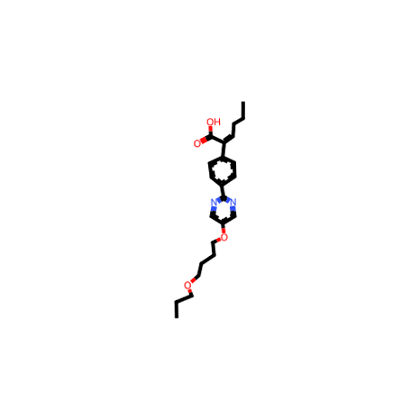 CCCC=C(C(=O)O)c1ccc(-c2ncc(OCCCCOCCC)cn2)cc1